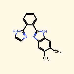 Cc1cc2nc(-c3ccccc3-c3ncc[nH]3)[nH]c2cc1C